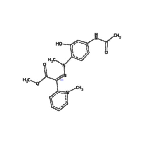 COC(=O)/C(=N\N(C)c1ccc(NC(C)=O)cc1O)c1cccc[n+]1C